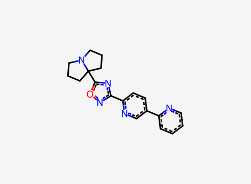 c1ccc(-c2ccc(-c3noc(C45CCCN4CCC5)n3)nc2)nc1